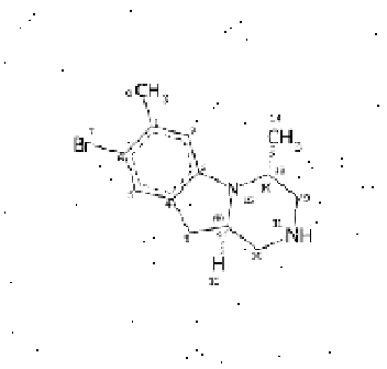 Cc1cc2c(cc1Br)C[C@@H]1CNC[C@@H](C)N21